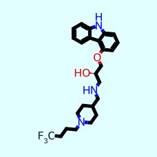 O[C@@H](CNCC1CCN(CCCC(F)(F)F)CC1)COc1cccc2[nH]c3ccccc3c12